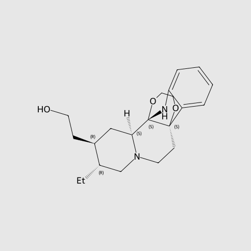 CC[C@H]1CN2CC[C@@]34OCCO[C@@]3(Nc3ccccc34)[C@@H]2C[C@@H]1CCO